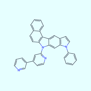 c1ccc(-n2ccc3cc4c5c6ccccc6ccc5n(-c5cc(-c6cccnc6)ccn5)c4cc32)cc1